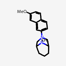 COc1ccc2ccc(N3CC4CCCC(C3)N4C)cc2c1